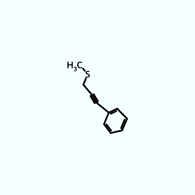 CSCC#Cc1ccccc1